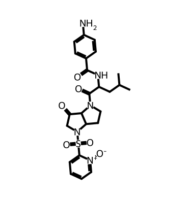 CC(C)CC(NC(=O)c1ccc(N)cc1)C(=O)N1CCC2C1C(=O)CN2S(=O)(=O)c1cccc[n+]1[O-]